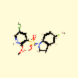 COc1ncc(Cl)cc1S(=O)(=O)N1CCc2cc(F)ccc21